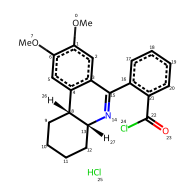 COc1cc2c(cc1OC)[C@H]1CCCC[C@H]1N=C2c1ccccc1C(=O)Cl.Cl